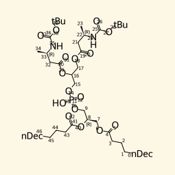 CCCCCCCCCCCCCC(=O)OC[C@H](COP(=O)(O)OCC(COC(=O)C[C@@H](C)NC(=O)OC(C)(C)C)OC(=O)C[C@@H](C)NC(=O)OC(C)(C)C)OC(=O)CCCCCCCCCCCCC